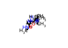 CCNC(=O)c1ccnc(NC(=O)c2cc(C(C)(C)C)nn2CC)c1